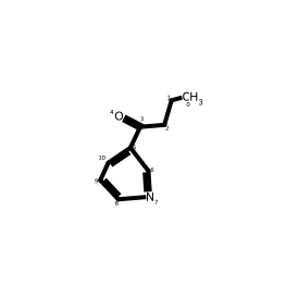 CCCC(=O)c1[c]nccc1